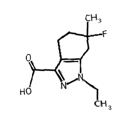 CCn1nc(C(=O)O)c2c1CC(C)(F)CC2